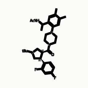 CC(=O)NC(C)c1cc(C)c(C)cc1N1CCN(C(=O)[C@@H]2CN(C(C)(C)C)C[C@H]2c2ccc(F)cc2F)CC1